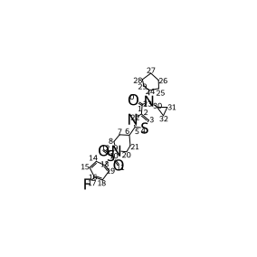 O=C(c1csc(C2CCN(S(=O)(=O)c3ccc(F)cc3)CC2)n1)N(C1CCCCC1)C1CC1